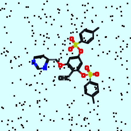 Cc1ccc(S(=O)(=O)Oc2cc(OCc3ccncn3)c(C=O)c(OS(=O)(=O)c3ccc(C)cc3)c2)cc1